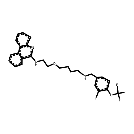 Fc1cc(CNCCCCOCCNc2nc3ccccc3c3cnccc23)ccc1OC(F)(F)F